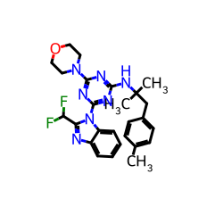 Cc1ccc(CC(C)(C)Nc2nc(N3CCOCC3)nc(-n3c(C(F)F)nc4ccccc43)n2)cc1